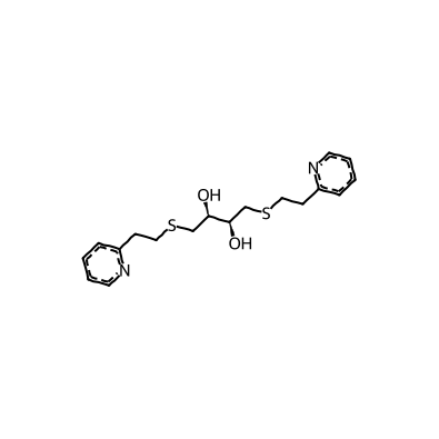 O[C@H](CSCCc1ccccn1)[C@H](O)CSCCc1ccccn1